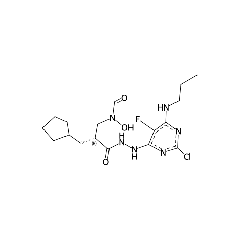 CCCNc1nc(Cl)nc(NNC(=O)[C@H](CC2CCCC2)CN(O)C=O)c1F